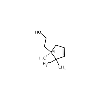 CC1(C)C=CC[C@]1(C)CCO